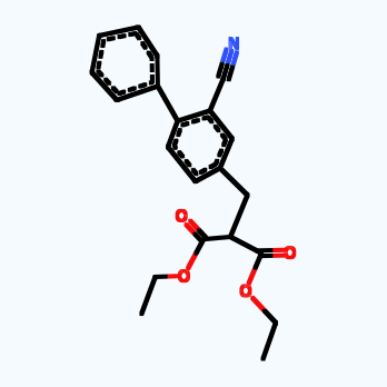 CCOC(=O)C(Cc1ccc(-c2ccccc2)c(C#N)c1)C(=O)OCC